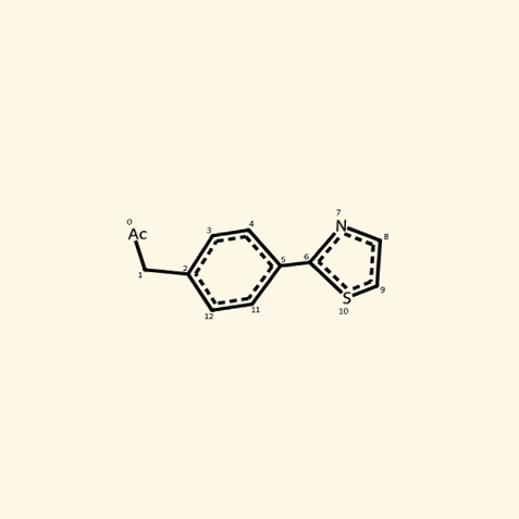 CC(=O)Cc1ccc(-c2nccs2)cc1